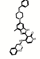 Cc1cc(N2CCN(Cc3ccccc3)CC2)cc2[nH]c(-c3c(N[C@H](CO)Cc4ccccc4)cc[nH]c3=O)nc12